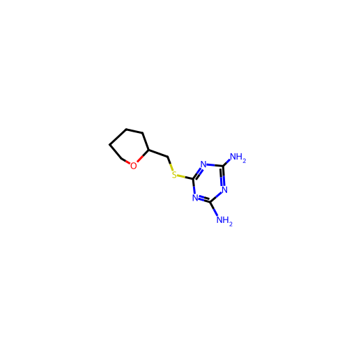 Nc1nc(N)nc(SCC2CCCCO2)n1